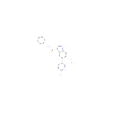 COc1nc(N(C)C)ccc1-c1cc2c(C(=O)NOc3ccccc3)c[nH]c2cc1Cl